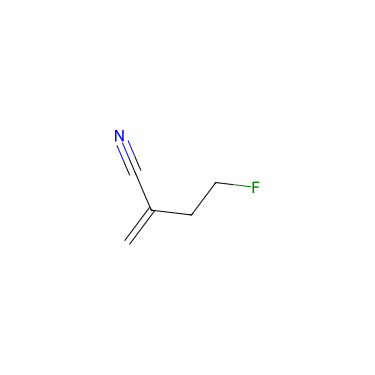 C=C(C#N)CCF